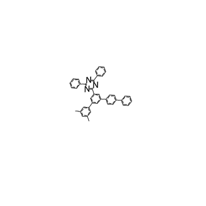 Cc1cc(C)cc(-c2cc(-c3ccc(-c4ccccc4)cc3)cc(-c3nc(-c4ccccc4)nc(-c4ccccc4)n3)c2)c1